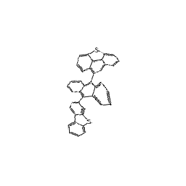 c1ccc2c(c1)sc1cc(-c3c4ccccc4c(-c4cc5cccc6sc7cccc4c7c56)c4ccccc34)ccc12